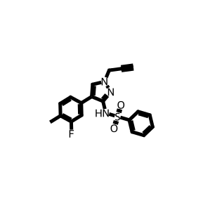 C#CCn1cc(-c2ccc(C)c(F)c2)c(NS(=O)(=O)c2ccccc2)n1